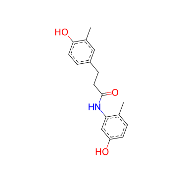 Cc1cc(CCC(=O)Nc2cc(O)ccc2C)ccc1O